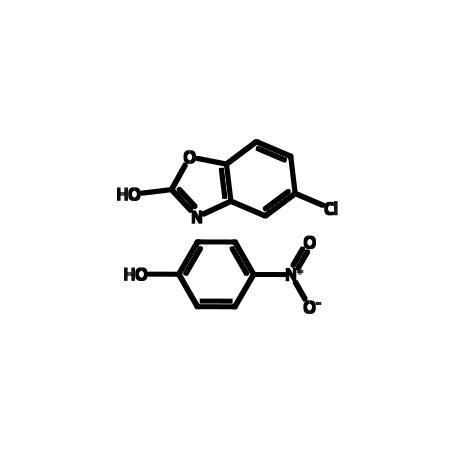 O=[N+]([O-])c1ccc(O)cc1.Oc1nc2cc(Cl)ccc2o1